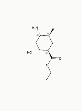 CCOC(=O)[C@H]1CC[C@H](N)[C@@H](C)C1.Cl